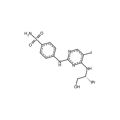 CC(C)[C@H](CO)Nc1nc(Nc2ccc(S(N)(=O)=O)cc2)ncc1I